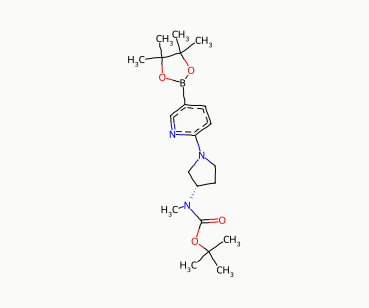 CN(C(=O)OC(C)(C)C)[C@H]1CCN(c2ccc(B3OC(C)(C)C(C)(C)O3)cn2)C1